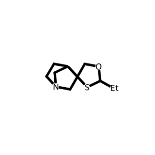 CCC1OCC2(CN3CCC2C3)S1